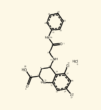 Cl.O=C(CNC1CC(C(=O)O)Nc2cc(Cl)cc(Cl)c21)Nc1ccccc1